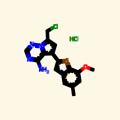 COc1cc(C)cc2cc(-c3cc(CCl)n4ncnc(N)c34)sc12.Cl